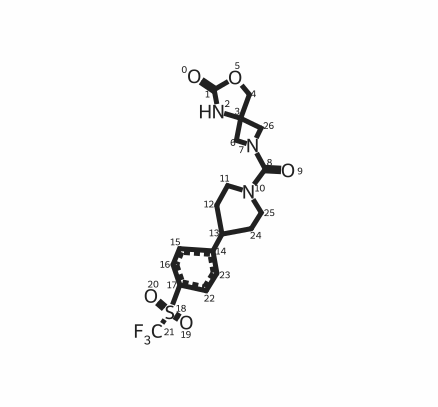 O=C1NC2(CO1)CN(C(=O)N1CCC(c3ccc(S(=O)(=O)C(F)(F)F)cc3)CC1)C2